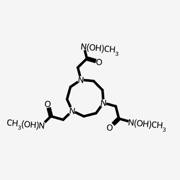 CN(O)C(=O)CN1CCN(CC(=O)N(C)O)CCN(CC(=O)N(C)O)CC1